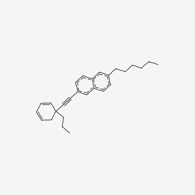 CCCCCCc1ccc2cc(C#CC3(CCC)C=CC=CC3)ccc2c1